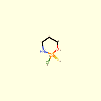 S=P1(Cl)NCCCO1